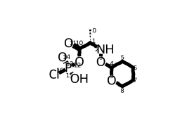 C[C@H](NOC1CCCCO1)C(=O)OP(=O)(O)Cl